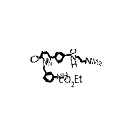 CCOC(=O)Nc1cccc(Cn2nc(-c3ccc(C(=O)NCCNC)cc3)ccc2=O)c1